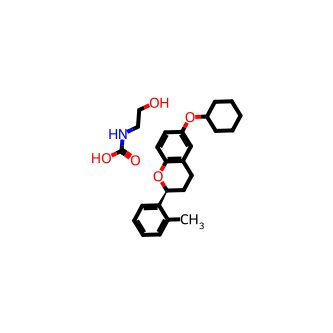 Cc1ccccc1[C@@H]1CCc2cc(OC3CCCCC3)ccc2O1.O=C(O)NCCO